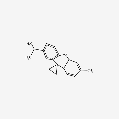 CC1=CC2Oc3ccc(C(C)C)cc3C3(CC3)C2C=C1